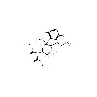 CC(C)(C)OC(=O)N(C(=O)OC(C)(C)C)C1=NC(CF)(c2cc([N+](=O)[O-])ccc2F)C(CCCO)S(=O)(=O)C1(C)C